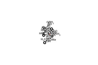 CC[C@H](C)[C@@H]([C@@H](CC(=O)N1CCC[C@H]1[C@@H](CC(=O)N[C@H](C)[C@@H](O)c1ccccc1)OC)OC)N(C)C(=O)[C@@H](NC(=O)[C@H](C(C)C)N(C)C(=O)OCc1ccc(NC(=O)[C@H](CCCNC(N)=O)NC(=O)C(Cc2c[nH]c3ccccc23)NC(=O)OC(C)(C)C)cc1)C(C)C